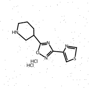 Cl.Cl.c1nc(-c2noc(C3CCCNC3)n2)cs1